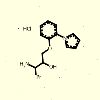 CC(C)C(N)C(O)COc1ccccc1-n1cccc1.Cl